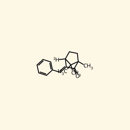 [2H]C12CCC(C)(C(=O)C1=Cc1ccccc1)C2(C)C